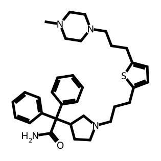 CN1CCN(CCCc2ccc(CCCN3CCC(C(C(N)=O)(c4ccccc4)c4ccccc4)C3)s2)CC1